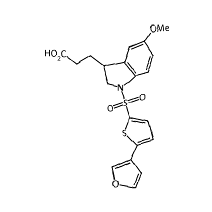 COc1ccc2c(c1)C(CCC(=O)O)CN2S(=O)(=O)c1ccc(-c2ccoc2)s1